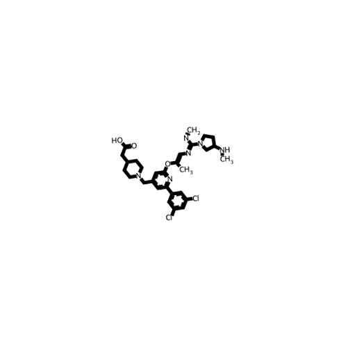 C=N/C(=N\C=C(/C)Oc1cc(CN2CCC(CC(=O)O)CC2)cc(-c2cc(Cl)cc(Cl)c2)n1)N1CCC(NC)C1